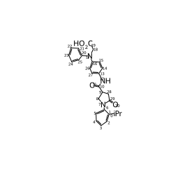 CC(C)c1ccccc1N1CC(C(=O)Nc2ccc(N(CC(=O)O)c3ccccc3)cc2)CC1=O